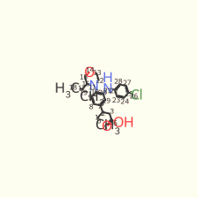 CCC(CC(=O)O)c1ccc(N2CCOCC2C(C)C)c(Nc2ccc(Cl)cc2)c1